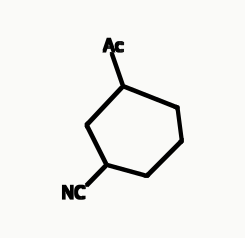 CC(=O)C1CCCC(C#N)C1